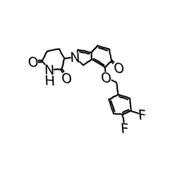 O=C1CCC(N2C=C3C=CC(=O)C(OCc4ccc(F)c(F)c4)=C3C2)C(=O)N1